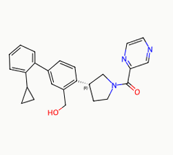 O=C(c1cnccn1)N1CC[C@H](c2ccc(-c3ccccc3C3CC3)cc2CO)C1